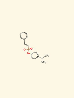 CC(C)c1ccc(OS(=O)(=O)/C=C/c2ccccc2)cc1